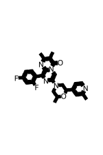 Cc1cc(C2CN(c3cn4c(=O)c(C)c(C)nc4c(-c4ccc(F)cc4F)n3)CC(C)O2)ccn1